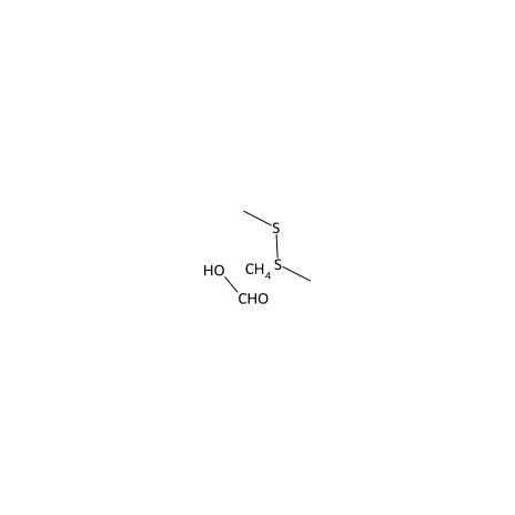 C.CSSC.O=CO